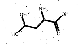 NC(CC(O)O)C(=O)O